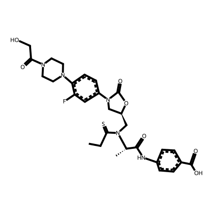 CCC(=S)N(C[C@H]1CN(c2ccc(N3CCN(C(=O)CO)CC3)c(F)c2)C(=O)O1)[C@@H](C)C(=O)Nc1ccc(C(=O)O)cc1